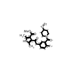 CCOC1CCN(C(=O)c2cc(CC(=O)c3c(C)[nH]c(C)c3C(=O)OC)ccc2F)CC1